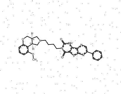 COc1cccc2c1[C@@H]1CN(CCCCn3c(=O)[nH]c4c(sc5nc(-c6ccccc6)cnc54)c3=O)C[C@@H]1CO2